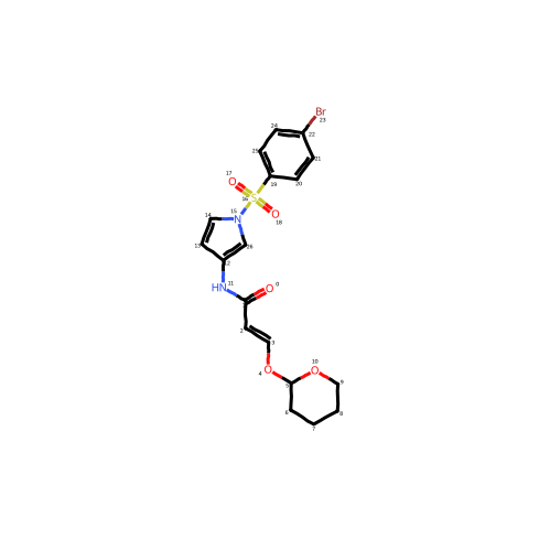 O=C(/C=C/OC1CCCCO1)Nc1ccn(S(=O)(=O)c2ccc(Br)cc2)c1